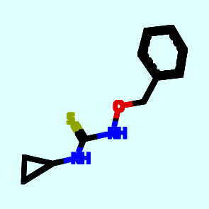 S=C(NOCc1ccccc1)NC1CC1